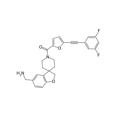 NCc1ccc2c(c1)C1(CCN(C(=O)c3ccc(C#Cc4cc(F)cc(F)c4)o3)CC1)CO2